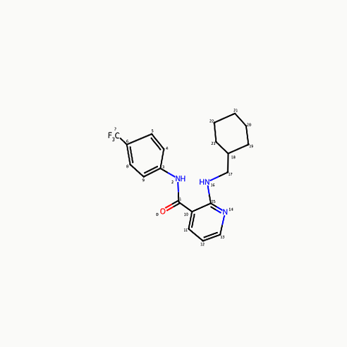 O=C(Nc1ccc(C(F)(F)F)cc1)c1cccnc1NCC1CCCCC1